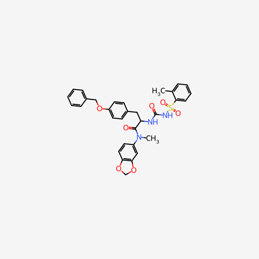 Cc1ccccc1S(=O)(=O)NC(=O)NC(Cc1ccc(OCc2ccccc2)cc1)C(=O)N(C)c1ccc2c(c1)OCO2